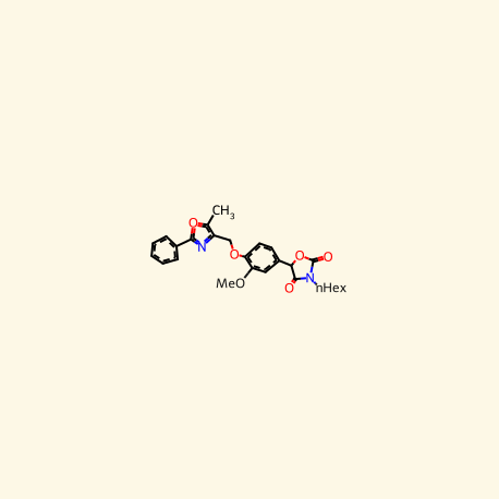 CCCCCCN1C(=O)OC(c2ccc(OCc3nc(-c4ccccc4)oc3C)c(OC)c2)C1=O